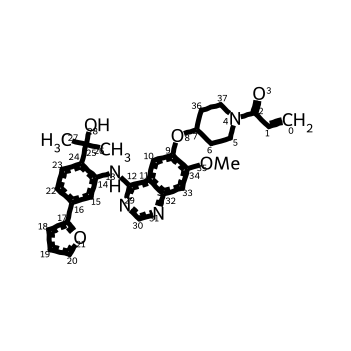 C=CC(=O)N1CCC(Oc2cc3c(Nc4cc(-c5ccco5)ccc4C(C)(C)O)ncnc3cc2OC)CC1